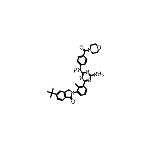 Cc1c(-c2nc(N)nc(Nc3ccc(C(=O)N4CCOCC4)cc3)n2)cccc1N1Cc2cc(C(C)(C)C)ccc2C1=O